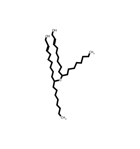 CCCCCCCCC(CCCCCCC=CCO)OC(CCCCCCC=CCO)CCCCCCCC